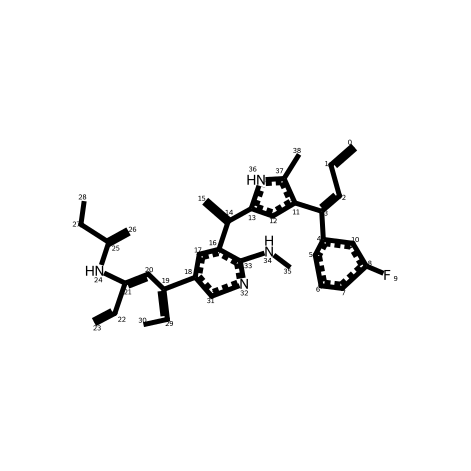 C=C/C=C(/c1cccc(F)c1)c1cc(C(=C)c2cc(C(/C=C(\C=C)NC(=C)CC)=C/C)cnc2NC)[nH]c1C